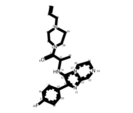 C=CCN1CCN(C(=O)C(C)Nc2c(-c3ccc(F)cc3)nc3cnccn23)CC1